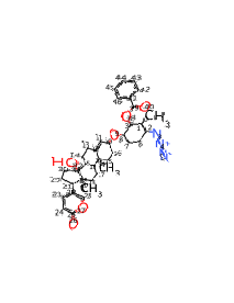 C[C@H]1[C@@H](N=[N+]=[N-])CCC(O[C@@H]2C=C3CCC4C(CC[C@]5(C)[C@@H](c6ccc(=O)oc6)CC[C@]45O)[C@@]3(C)CC2)[C@H]1OC(=O)c1ccccc1